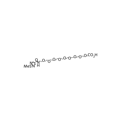 CSc1ncc(C(=O)NCCOCCOCCOCCOCCOCCOCCOCCOCCOCC(=O)O)cn1